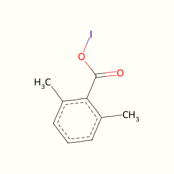 Cc1cccc(C)c1C(=O)OI